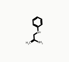 C=C(N)[CH2][Sn][c]1ccccc1